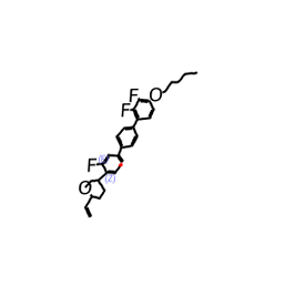 C=CC1CCC(C(=C/C)/C(F)=C\C(=C)c2ccc(-c3ccc(OCCCCC)c(F)c3F)cc2)CO1